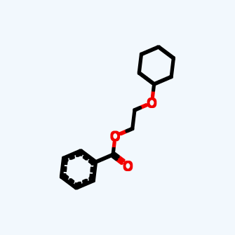 O=C(OCCOC1CCCCC1)c1ccccc1